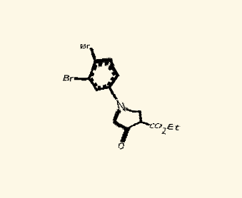 CCOC(=O)C1CN(c2ccc(Br)c(Br)c2)CC1=O